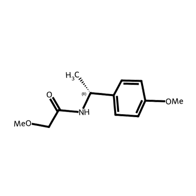 COCC(=O)N[C@H](C)c1ccc(OC)cc1